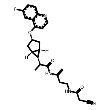 C=C(CCNC(=O)CC#N)NC(=O)C(C)[C@H]1[C@@H]2C[C@@H](Oc3ccnc4ccc(F)cc34)C[C@@H]21